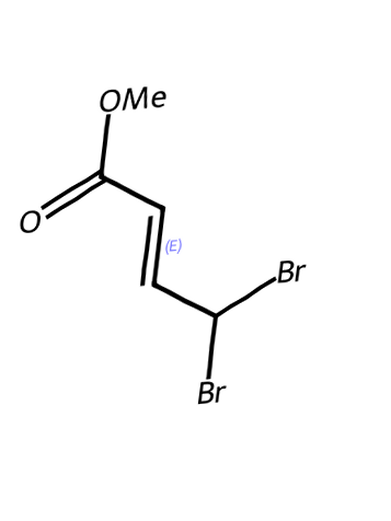 COC(=O)/C=C/C(Br)Br